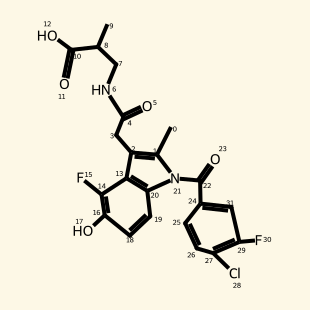 Cc1c(CC(=O)NCC(C)C(=O)O)c2c(F)c(O)ccc2n1C(=O)c1ccc(Cl)c(F)c1